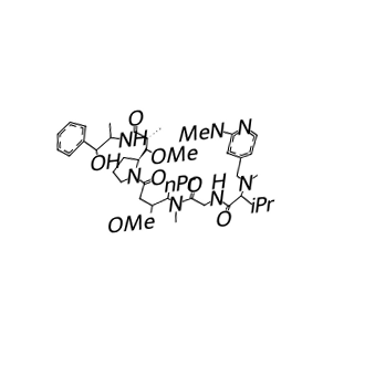 CCCC(C(CC(=O)N1CCC[C@H]1C(OC)[C@@H](C)C(=O)NC(C)C(O)c1ccccc1)OC)N(C)C(=O)CNC(=O)C(C(C)C)N(C)Cc1ccnc(NC)c1